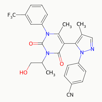 Cc1cnn(-c2ccc(C#N)cc2)c1-c1c(C)n(-c2cccc(C(F)(F)F)c2)c(=O)n(C(C)CO)c1=O